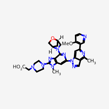 COc1ccncc1-c1cc2c(cnn2-c2cc3c(nc(N4CCN(CC(=O)O)CC4)n3C)c(N3C[C@H]4C[C@@H]3CO4)n2)c(C)n1